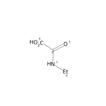 CCNC(=O)C(=O)O